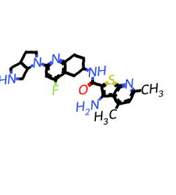 Cc1cc(C)c2c(N)c(C(=O)NC3CCc4nc(N5CCC6CNCC65)cc(F)c4C3)sc2n1